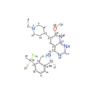 CCN1CCC(c2cc3c(N[C@H](C)c4cccc(C(C)(F)F)c4C)ncnc3nc2OC)CC1